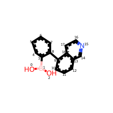 OB(O)c1ccccc1-c1cccc2cnccc12